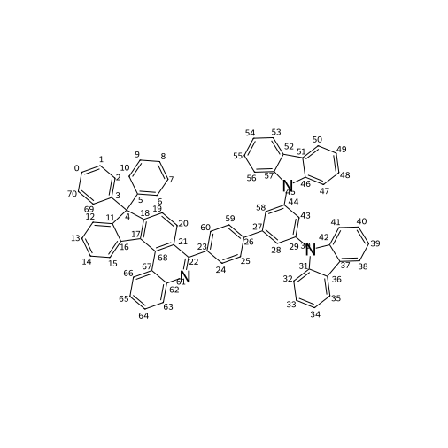 c1ccc(C2(c3ccccc3)c3ccccc3-c3c2ccc2c(-c4ccc(-c5cc(-n6c7ccccc7c7ccccc76)cc(-n6c7ccccc7c7ccccc76)c5)cc4)nc4ccccc4c32)cc1